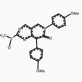 COc1ccc(-c2c(=O)n(-c3ccc(OC)cc3)cc3cnc([S+](C)[O-])nc23)cc1